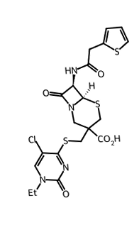 CCn1cc(Cl)c(SCC2(C(=O)O)CS[C@@H]3[C@H](NC(=O)Cc4cccs4)C(=O)N3C2)nc1=O